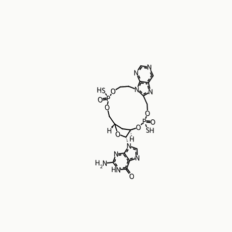 Nc1nc2c(ncn2[C@@H]2O[C@@H]3COP(=O)(S)OCCn4c(nc5cncnc54)COP(=O)(S)O[C@@H]2C3)c(=O)[nH]1